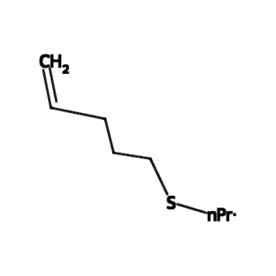 C=CCCCS[CH]CC